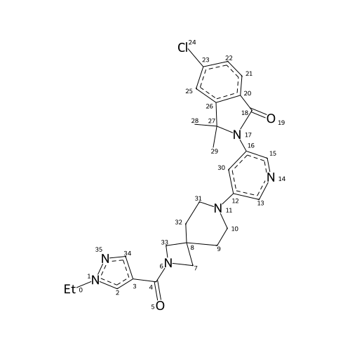 CCn1cc(C(=O)N2CC3(CCN(c4cncc(N5C(=O)c6ccc(Cl)cc6C5(C)C)c4)CC3)C2)cn1